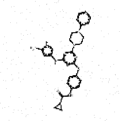 Cc1cc(Nc2nc(Sc3ccc(NC(=O)C4CC4)cc3)nc(N3CCN(c4ccncc4)CC3)n2)n[nH]1